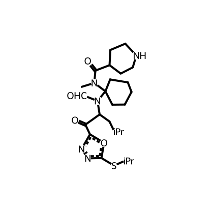 CC(C)CC(C(=O)c1nnc(SC(C)C)o1)N(C=O)C1(N(C)C(=O)C2CCNCC2)CCCCC1